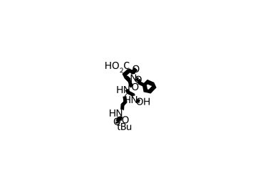 CC(C)(C)OC(=O)NCCCC[C@@H](CNO)NC(=O)c1ccc(C(=O)O)c(=O)n1OCc1ccccc1